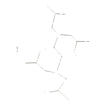 CC(O)CN(CCN(CC(C)O)CC(C)O)CC(C)O.NO